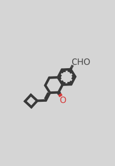 O=Cc1ccc2c(c1)CC/C(=C\C1CCC1)C2=O